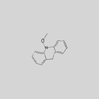 CON1c2ccccc2Cc2ccccc21